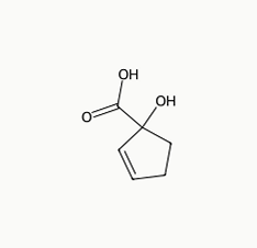 O=C(O)C1(O)C=CCC1